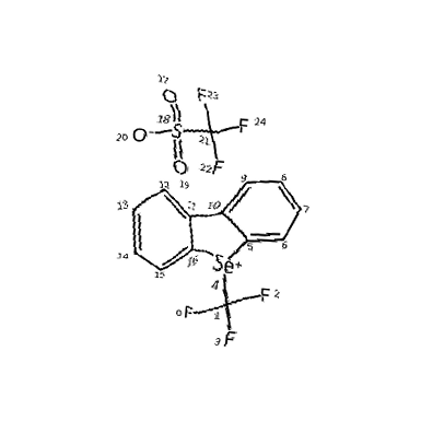 FC(F)(F)[se+]1c2ccccc2c2ccccc21.O=S(=O)([O-])C(F)(F)F